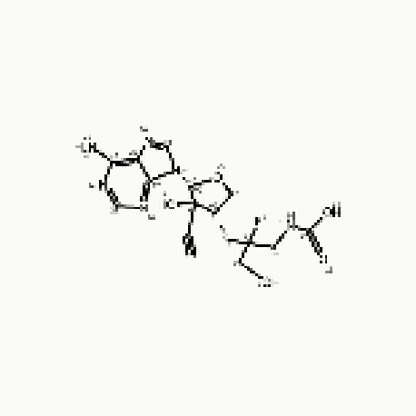 C#C[C@@]1(O)[C@@H](CC(F)(CO)CNC(=O)O)CO[C@H]1n1cnc2c(N)ncnc21